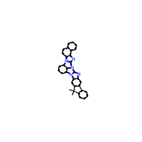 CC1(C)c2ccccc2-c2cc3nc4n(c3cc21)c1cccc2c1n4c1nc3c4ccccc4ccc3n21